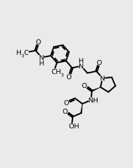 CC(=O)Nc1cccc(C(=O)NCC(=O)N2CCC[C@H]2C(=O)N[C@H](C=O)CC(=O)O)c1C